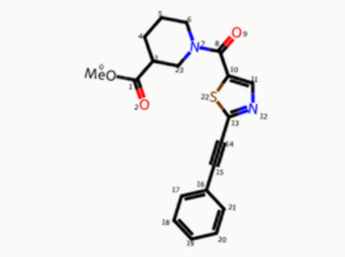 COC(=O)C1CCCN(C(=O)c2cnc(C#Cc3ccccc3)s2)C1